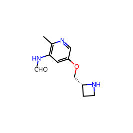 Cc1ncc(OC[C@H]2CCN2)cc1NC=O